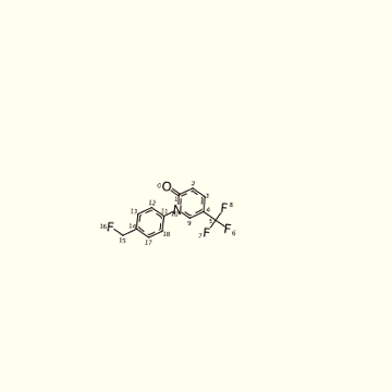 O=c1ccc(C(F)(F)F)cn1-c1ccc(CF)cc1